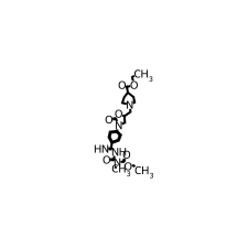 CCOC(=O)C1CCN(CC2CN(c3ccc(C(=N)NC(=O)N(C)C(=O)OCC)cc3)C(=O)O2)CC1